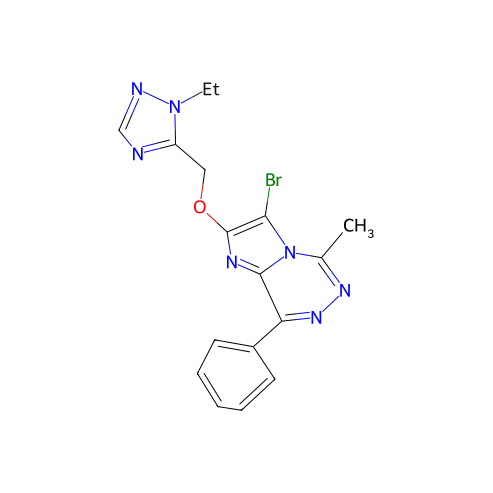 CCn1ncnc1COc1nc2c(-c3ccccc3)nnc(C)n2c1Br